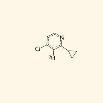 [2H]c1c(Cl)ccnc1C1CC1